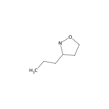 CCCC1CCO[N]1